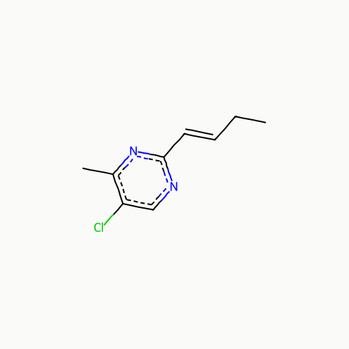 CC/C=C/c1ncc(Cl)c(C)n1